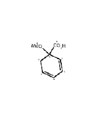 COC1(C(=O)O)C=CC=CC1